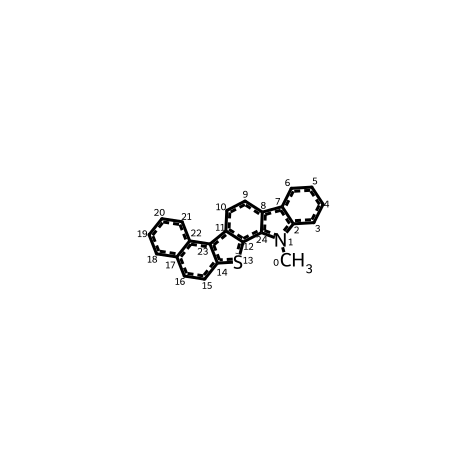 Cn1c2ccccc2c2ccc3c(sc4ccc5ccccc5c43)c21